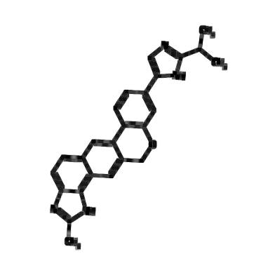 Cc1nc2ccc3cc4c(cc3c2[nH]1)COc1cc(-c2cnc(C(C)C)[nH]2)ccc1-4